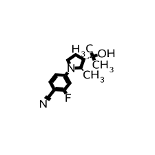 C[C@H]1[C@@H](C(C)(C)O)CCN1c1ccc(C#N)c(F)c1